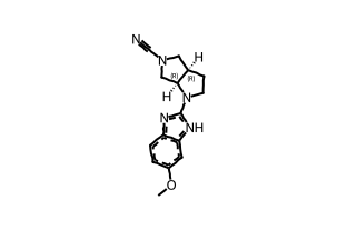 COc1ccc2nc(N3CC[C@@H]4CN(C#N)C[C@@H]43)[nH]c2c1